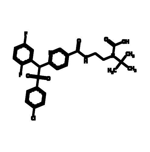 CC(C)(C)N(CCNC(=O)c1ccc(C(c2cc(F)ccc2F)S(=O)(=O)c2ccc(Cl)cc2)nc1)C(=O)O